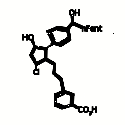 CCCCCC(O)c1ccc([C@@H]2C(CCCc3cccc(C(=O)O)c3)[C@H](Cl)C[C@H]2O)cc1